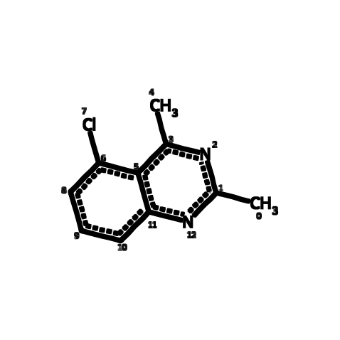 Cc1nc(C)c2c(Cl)cccc2n1